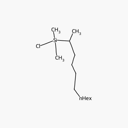 CCCCCCCCCCC(C)[Si](C)(C)Cl